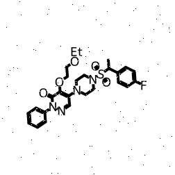 CCOCCOc1c(N2CCN(S(=O)(=O)C(C)c3ccc(F)cc3)CC2)cnn(-c2ccccc2)c1=O